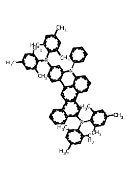 Cc1cc(C)c(B(c2ccc3c(c2)N(c2ccccc2)c2cccc4c2c-3cc2c3ccccc3c(B(c3c(C)cc(C)cc3C)c3c(C)cc(C)cc3C)cc42)c2c(C)cc(C)cc2C)c(C)c1